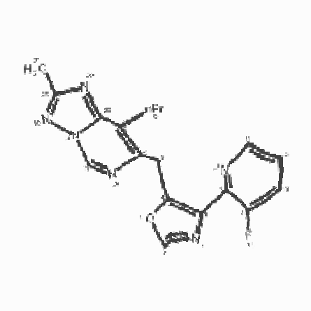 CCCc1c(Cc2ocnc2-c2ncccc2F)ncn2nc(C)nc12